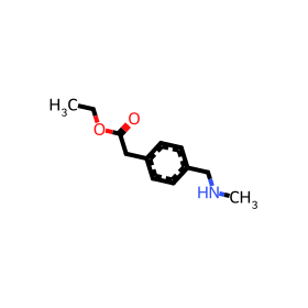 CCOC(=O)Cc1ccc(CNC)cc1